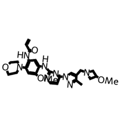 C=CC(=O)Nc1cc(Nc2nccc(-n3cc(CN4CC(OC)C4)c(C)n3)n2)c(OC)cc1N1CCOCC1